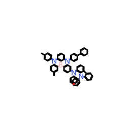 Cc1ccc(N2c3ccc(C)cc3B3c4ccc(N(c5ccccc5)c5cccc6c7ccccc7n(-c7ccccc7)c56)cc4N(c4ccc(C5=CCCC=C5)cc4)c4cccc2c43)cc1